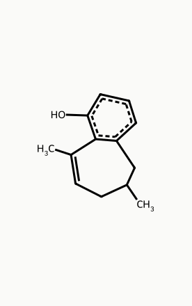 CC1=CCC(C)Cc2cccc(O)c21